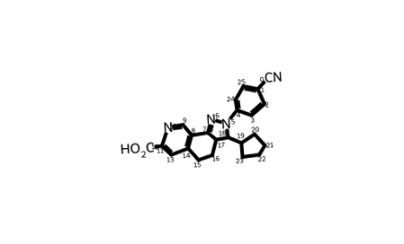 N#Cc1ccc(N2N=C3c4cnc(C(=O)O)cc4CCC3C2C2CCCC2)cc1